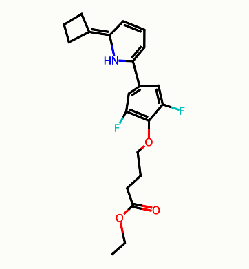 CCOC(=O)CCCOc1c(F)cc(C2=CC=CC(=C3CCC3)N2)cc1F